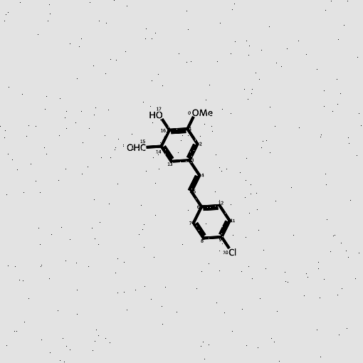 COc1cc(C=Cc2ccc(Cl)cc2)cc(C=O)c1O